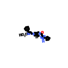 C1CCCC1.O=C(O)NC(CCN1CC2CN(C(=O)c3nc[nH]n3)C[C@@H]2C1)c1ccccc1